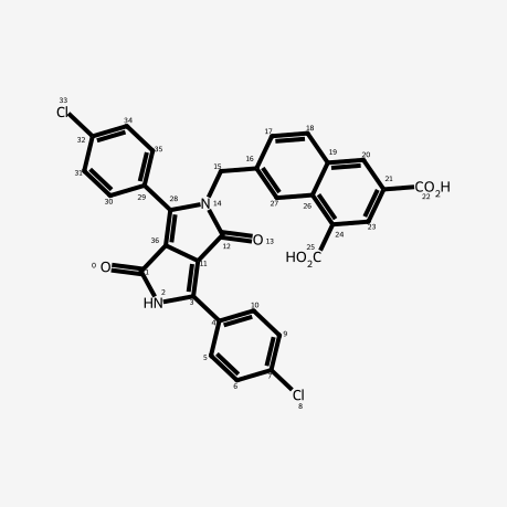 O=C1NC(c2ccc(Cl)cc2)=C2C(=O)N(Cc3ccc4cc(C(=O)O)cc(C(=O)O)c4c3)C(c3ccc(Cl)cc3)=C12